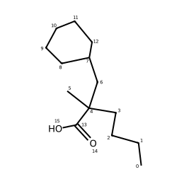 CCCCC(C)(CC1CCCCC1)C(=O)O